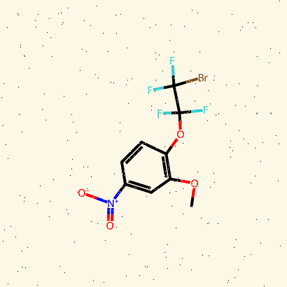 COc1cc([N+](=O)[O-])ccc1OC(F)(F)C(F)(F)Br